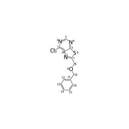 Clc1ncnc2sc(COCc3ccccc3)nc12